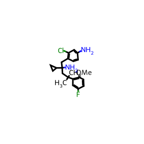 COc1ccc(F)cc1C(C)(C)CC(N)(Cc1ccc(N)cc1Cl)C1CC1